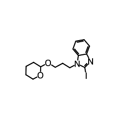 Ic1nc2ccccc2n1CCCOC1CCCCO1